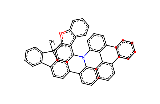 CC1(C)c2ccccc2-c2ccc(-c3ccccc3N(c3cccc(-c4ccccc4)c3-c3ccccc3-c3ccccc3)c3cccc4oc5ccccc5c34)cc21